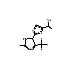 CC(O)c1cnc(C2NC(Cl)=NC=C2C(F)(F)F)s1